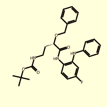 CC(C)(C)OC(=O)NCC[C@H](OCc1ccccc1)C(=O)Nc1ccc(F)cc1Nc1ccccc1